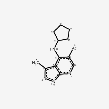 CC(=O)c1cnc2[nH]nc(C)c2c1NC1CCCC1